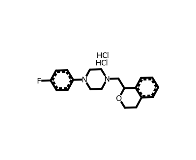 Cl.Cl.Fc1ccc(N2CCN(CC3OCCc4ccccc43)CC2)cc1